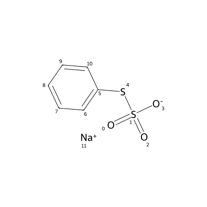 O=S(=O)([O-])Sc1ccccc1.[Na+]